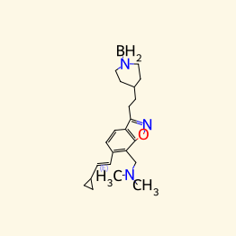 BN1CCC(CCc2noc3c(CN(C)C)c(/C=C/C4CC4)ccc23)CC1